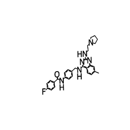 Cc1ccc2c(NCc3ccc(NC(=O)c4ccc(F)cc4)cc3)nc(NCCN3CCCC3)nc2c1